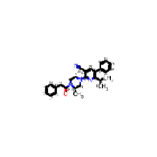 CC(C)c1nc(N2CCN(C(=O)Cc3ccccc3)[C@@H](C)C2)c(C#N)cc1-c1ccccc1